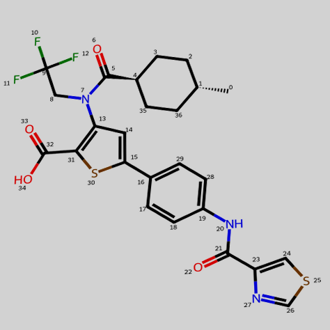 C[C@H]1CC[C@H](C(=O)N(CC(F)(F)F)c2cc(-c3ccc(NC(=O)c4cscn4)cc3)sc2C(=O)O)CC1